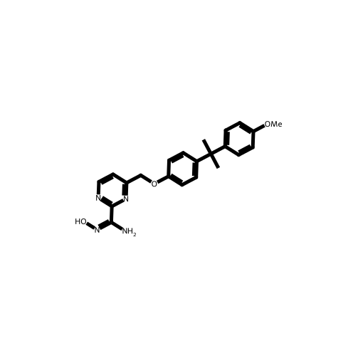 COc1ccc(C(C)(C)c2ccc(OCc3ccnc(/C(N)=N\O)n3)cc2)cc1